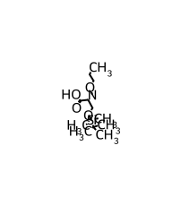 CCCO/N=C(/CO[Si](C)(C)C(C)(C)C)C(=O)O